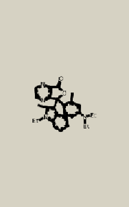 CCN(CC)c1ccc(C2(c3c(C)n(CC)c4ccccc34)OC(=O)c3nccnc32)c(C)c1